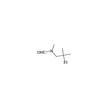 CCC(C)(C)CN(C)[C]=O